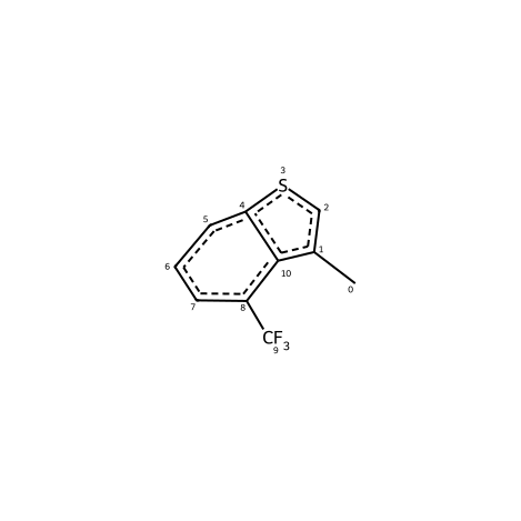 Cc1csc2cccc(C(F)(F)F)c12